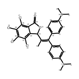 CC(=C(c1ccc(N(C)C)cc1)c1ccc(N(C)C)cc1)C1OC(=O)c2c(Cl)c(Cl)c(Cl)c(Cl)c21